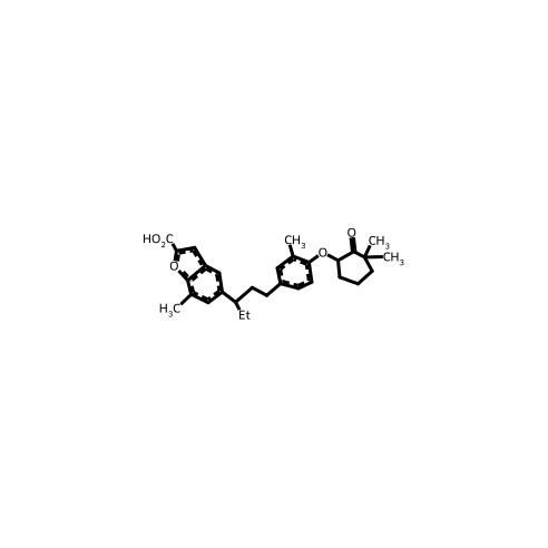 CCC(CCc1ccc(OC2CCCC(C)(C)C2=O)c(C)c1)c1cc(C)c2oc(C(=O)O)cc2c1